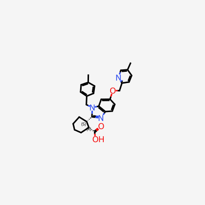 Cc1ccc(Cn2c([C@H]3CCCC[C@H]3C(=O)O)nc3ccc(OCc4ccc(C)cn4)cc32)cc1